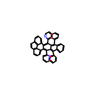 c1ccc(-c2c3ccccc3c(-c3ccccc3)c3c(-c4ccccn4)c4c5cccc6ccc7cccc(c4c(-c4ccccn4)c23)c7c65)cc1